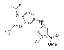 COC(=O)[C@@H]1C[C@H](Nc2ccc(OC(F)F)c(OCC3CC3)c2)CN1C(C)=O